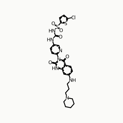 O=C(Nc1ccc(-n2c(=O)[nH]c3cc(NCCCN4CCCCC4)ccc3c2=O)nc1)NS(=O)(=O)c1ccc(Cl)s1